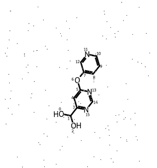 OC(O)c1cc(Oc2cccnc2)ncn1